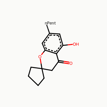 CCCCCc1cc(O)c2c(c1)OC1(CCCC1)CC2=O